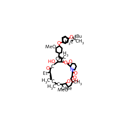 CCC1/C=C(\C)CC(C)CC(OC)C2OC(O)(C(=O)C(=O)N3CCCCC3C(=O)OC(C(C)=CC3CCC(Oc4ccc(O[Si](C)(C)C(C)(C)C)cc4)C(OC)C3)C(C)C(O)CC1=O)C(C)CC2OC